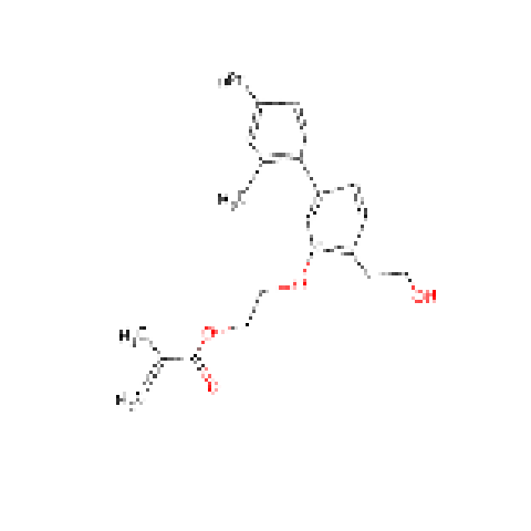 C=C(C)C(=O)OCCOc1cc(-c2ccc(CCC)cc2C)ccc1CCO